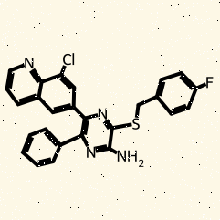 Nc1nc(-c2ccccc2)c(-c2cc(Cl)c3ncccc3c2)nc1SCc1ccc(F)cc1